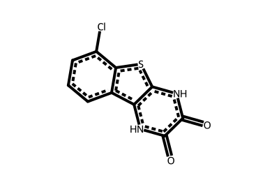 O=c1[nH]c2sc3c(Cl)cccc3c2[nH]c1=O